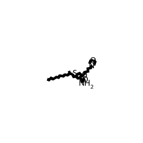 C=CC=CCC=CC=CC=C(C)c1cc2cc(C(N)=O)c(OCCCCN3CCOCC3)cc2s1